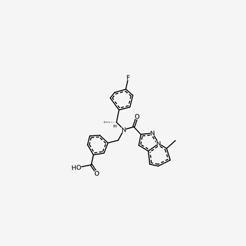 Cc1cccc2cc(C(=O)N(Cc3cccc(C(=O)O)c3)[C@H](C)c3ccc(F)cc3)nn12